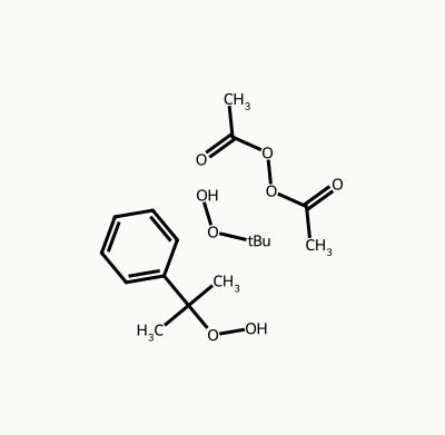 CC(=O)OOC(C)=O.CC(C)(C)OO.CC(C)(OO)c1ccccc1